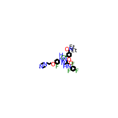 CCN(CC)C(=O)c1ccc(Oc2nc(Nc3ccc(OCCCN4CCN(C)CC4)c(F)c3)ncc2C(=O)Nc2c(F)cc(F)cc2F)c(Cl)c1